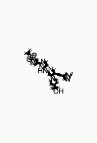 Cn1cc(C#Cc2cnc(Nc3ccnc(-c4cnn(S(=O)(=O)C5CC5)c4)n3)cc2N2CCC(C(C)(C)O)CC2)cn1